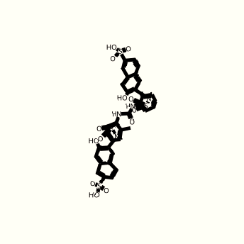 Cc1c2ccc(c1NC(=O)Nc1c3ccc(c1C)N(c1cc4ccc(S(=O)(=O)O)cc4cc1O)S3(=O)=O)S(=O)(=O)N2c1cc2ccc(S(=O)(=O)O)cc2cc1O